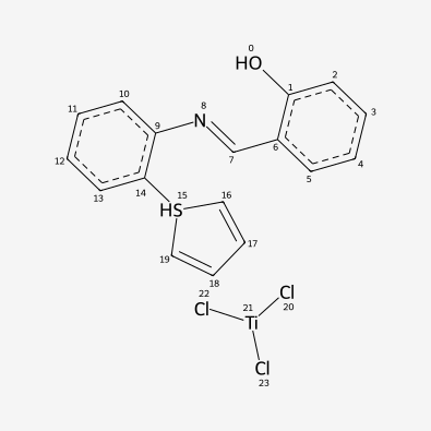 Oc1ccccc1C=Nc1ccccc1[SH]1C=CC=C1.[Cl][Ti]([Cl])[Cl]